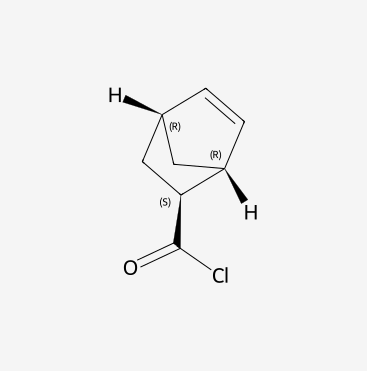 O=C(Cl)[C@H]1C[C@@H]2C=C[C@H]1C2